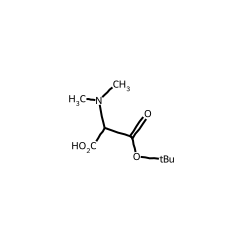 CN(C)C(C(=O)O)C(=O)OC(C)(C)C